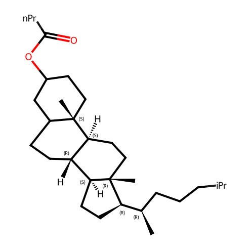 CCCC(=O)OC1CC[C@@]2(C)C(CC[C@H]3[C@@H]4CC[C@H]([C@H](C)CCCC(C)C)[C@@]4(C)CC[C@@H]32)C1